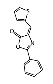 O=C1OC(c2ccccc2)=N/C1=C/c1cccs1